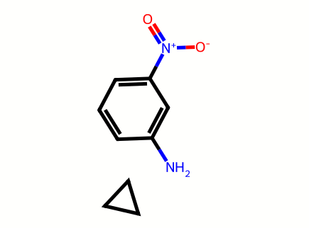 C1CC1.Nc1cccc([N+](=O)[O-])c1